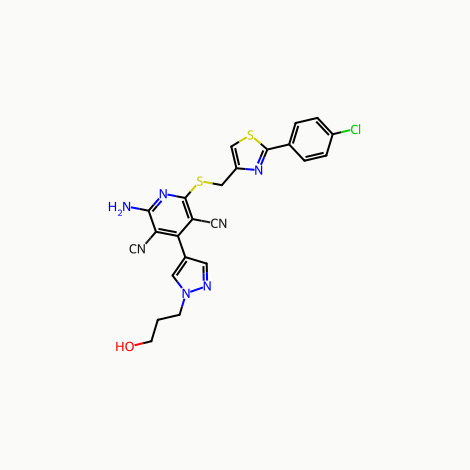 [C-]#[N+]c1c(N)nc(SCc2csc(-c3ccc(Cl)cc3)n2)c(C#N)c1-c1cnn(CCCO)c1